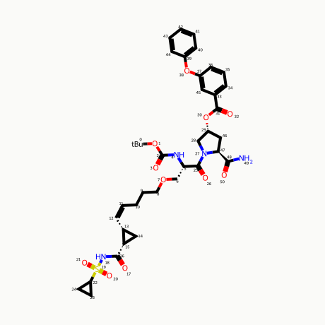 CC(C)(C)OC(=O)N[C@@H](COCCC/C=C\[C@@H]1C[C@@H]1C(=O)NS(=O)(=O)C1CC1)C(=O)N1C[C@H](OC(=O)c2cccc(Oc3ccccc3)c2)C[C@H]1C(N)=O